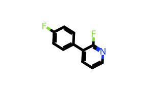 Fc1ccc(-c2cccnc2F)cc1